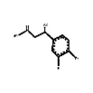 CC(=O)[C@H](CNC(C)C)c1ccc(Br)c(F)c1